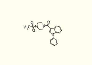 CS(=O)(=O)N1CCN(C(=O)c2cn(-c3ccccc3)c3ccccc23)CC1